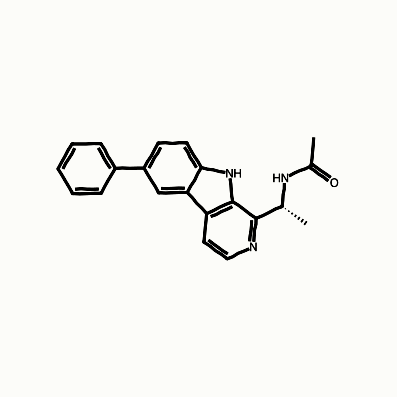 CC(=O)N[C@H](C)c1nccc2c1[nH]c1ccc(-c3ccccc3)cc12